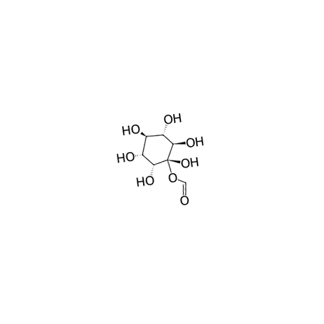 O=CO[C@]1(O)[C@H](O)[C@H](O)[C@@H](O)[C@H](O)[C@H]1O